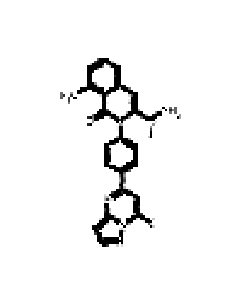 C[C@H](N)c1cc2cccc(C(F)(F)F)c2c(=O)n1-c1ccc(-c2cc(Cl)n3nccc3n2)cc1